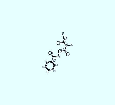 COC(=O)C(C)C(=O)OCC(=O)c1ccccc1